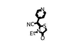 CCN1C(=O)CSC1=C(C#N)c1ccncc1